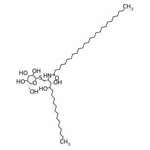 CCCCCCCCCCCCCCCCCCCCCCCCCC(=O)N[C@H](CS[C@H]1O[C@H](CO)[C@@H](O)[C@H](O)[C@H]1O)[C@H](O)[C@H](O)CCCCCCCCCCCCCC